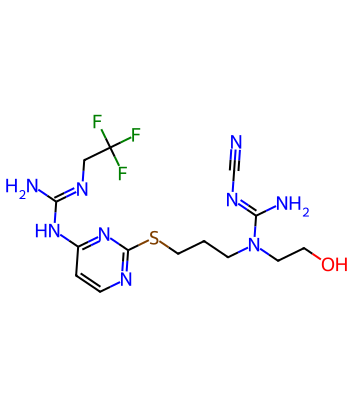 N#CN=C(N)N(CCO)CCCSc1nccc(NC(N)=NCC(F)(F)F)n1